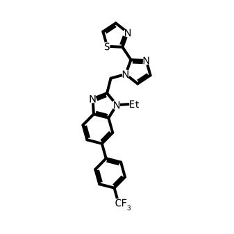 CCn1c(Cn2ccnc2-c2nccs2)nc2ccc(-c3ccc(C(F)(F)F)cc3)cc21